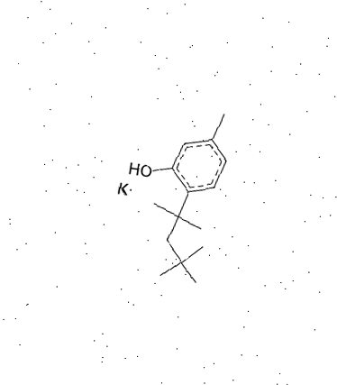 Cc1ccc(C(C)(C)CC(C)(C)C)c(O)c1.[K]